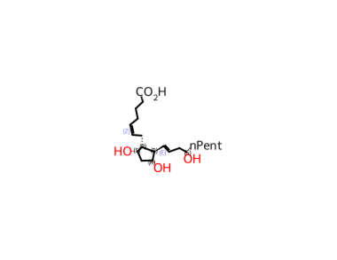 CCCCC[C@H](O)C/C=C/[C@@H]1[C@@H](C/C=C\CCCC(=O)O)[C@@H](O)C[C@H]1O